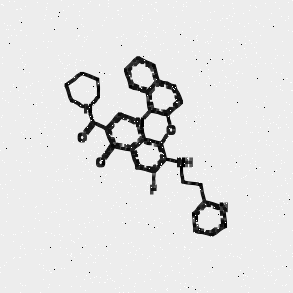 O=C(c1cn2c3c(c(NCCc4ccccn4)c(F)cc3c1=O)Oc1ccc3ccccc3c1-2)N1CCCCC1